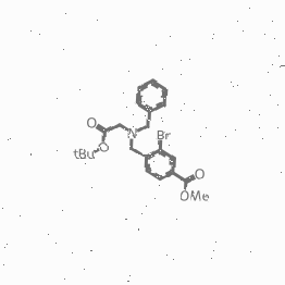 COC(=O)c1ccc(CN(CC(=O)OC(C)(C)C)Cc2ccccc2)c(Br)c1